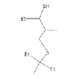 CCC(S)C(C)CSC(C)(CC)CC